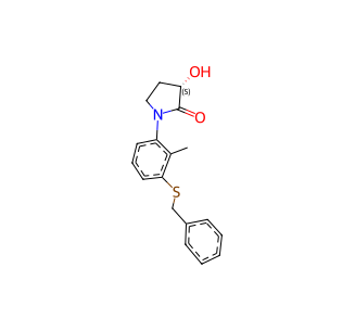 Cc1c(SCc2ccccc2)cccc1N1CC[C@H](O)C1=O